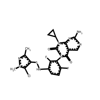 Cc1nn(C)c(Cl)c1SNc1ccc(F)c(-n2c(=O)c3cnc(N)nc3n(C3CC3)c2=O)c1F